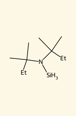 CCC(C)(C)N([SiH3])C(C)(C)CC